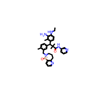 CCNc1ccc(C(c2ccc(C)c(CN3CCCc4ncccc4[S+]3[O-])c2)C(C)(C)C(=O)Nc2cccnc2)c(C)c1N